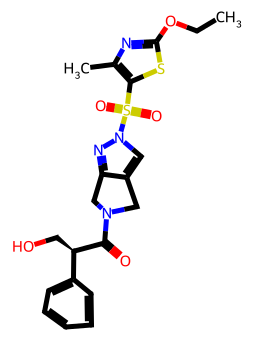 CCOc1nc(C)c(S(=O)(=O)n2cc3c(n2)CN(C(=O)[C@H](CO)c2ccccc2)C3)s1